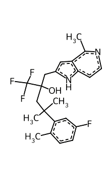 Cc1ccc(F)cc1C(C)(C)CC(O)(Cc1cc2c(C)nccc2[nH]1)C(F)(F)F